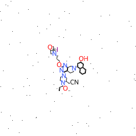 C=CC(=O)N1CCN(c2nc(OCCCN3CC4OC[C@]43I)nc3c2CCN(c2cc(O)cc4ccccc24)C3)CC1CC#N